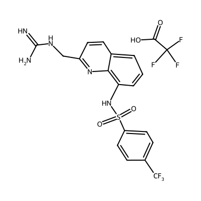 N=C(N)NCc1ccc2cccc(NS(=O)(=O)c3ccc(C(F)(F)F)cc3)c2n1.O=C(O)C(F)(F)F